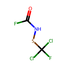 O=C(F)NSC(F)(Cl)Cl